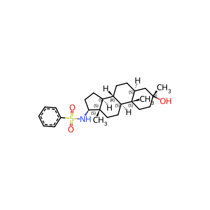 C[C@@]1(O)CC[C@@]2(C)[C@@H](CC[C@@H]3[C@@H]2CC[C@]2(C)[C@@H](NS(=O)(=O)c4ccccc4)CC[C@@H]32)C1